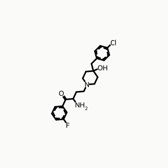 NC(CCN1CCC(O)(Cc2ccc(Cl)cc2)CC1)C(=O)c1cccc(F)c1